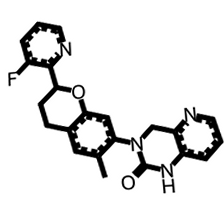 Cc1cc2c(cc1N1Cc3ncccc3NC1=O)OC(c1ncccc1F)CC2